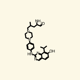 CC(CC(N)C=O)CN1CCN(c2ccc(Nc3ncc4ccc(O)c(C(C)C)c4n3)cc2)CC1